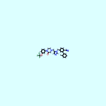 Cc1ccccc1-c1cc(Cn2cncc2CN2CCN(c3cccc(OC(F)(F)F)c3)C(=O)C2)ccc1C#N